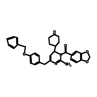 NC1=NC(Cc2ccc(OCc3ccccc3)cc2)=CC(C2CCNCC2)N1C(=O)c1ccc2c(c1)OCO2